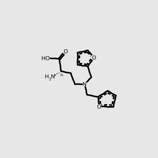 N[C@@H](CCN(Cc1ccco1)Cc1ccco1)C(=O)O